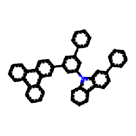 c1ccc(-c2cc(-c3ccc4c5ccccc5c5ccccc5c4c3)cc(-n3c4ccccc4c4ccc(-c5ccccc5)cc43)c2)cc1